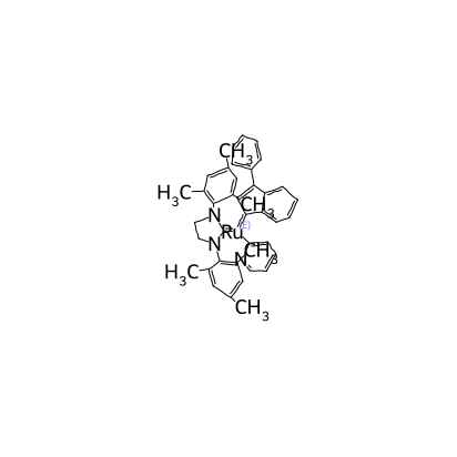 Cc1cc(C)c(N2CCN(c3c(C)cc(C)cc3C)[C]2=[Ru](=[C]2\C=C(c3ccccc3)c3ccccc32)/[c]2ccccn2)c(C)c1